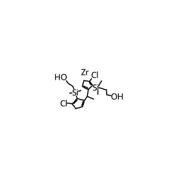 CC(C1=CCC(Cl)=C1[Si](C)(C)CCO)C1=CCC(Cl)=C1[Si](C)(C)CCO.[Zr]